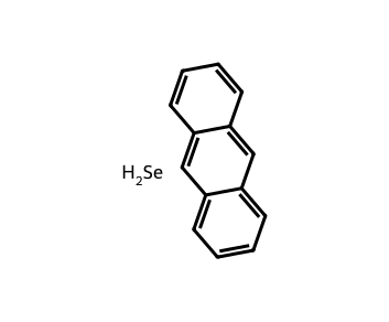 [SeH2].c1ccc2cc3ccccc3cc2c1